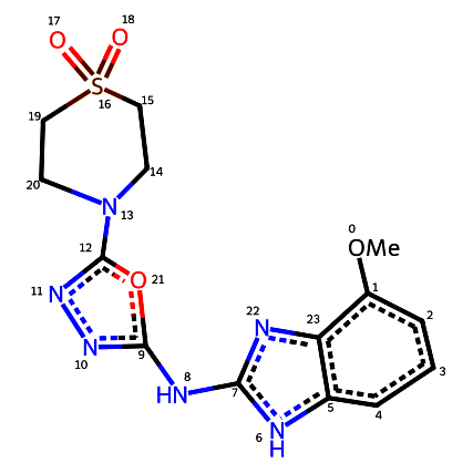 COc1cccc2[nH]c(Nc3nnc(N4CCS(=O)(=O)CC4)o3)nc12